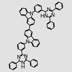 c1ccc(C2=NC(c3cccc(-n4c5ccccc5c5cc(-c6ccc7c(c6)c6ccccc6n7-c6cccc(C7=NC(c8ccccc8)NC(c8ccccc8)=N7)c6)ccc54)c3)NC(c3ccccc3)=N2)cc1